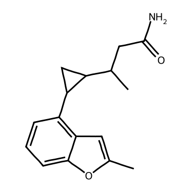 Cc1cc2c(C3CC3C(C)CC(N)=O)cccc2o1